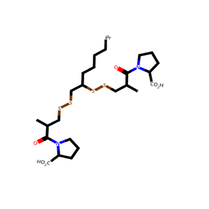 CC(C)CCCCC(CSSCC(C)C(=O)N1CCCC1C(=O)O)SSCC(C)C(=O)N1CCCC1C(=O)O